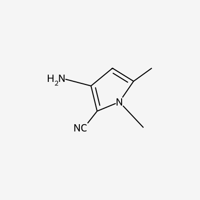 Cc1cc(N)c(C#N)n1C